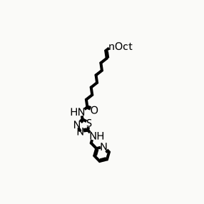 CCCCCCCC/C=C/CCCCCCCC(=O)Nc1nnc(NCc2ccccn2)s1